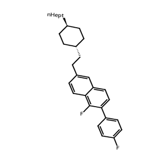 CCCCCCC[C@H]1CC[C@H](CCc2ccc3c(F)c(-c4ccc(F)cc4)ccc3c2)CC1